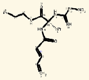 C=C/C=C/C(=O)N[C@](CCC)(NC(=N)N[N+](=O)[O-])C(=O)N[CH]CC(C)C